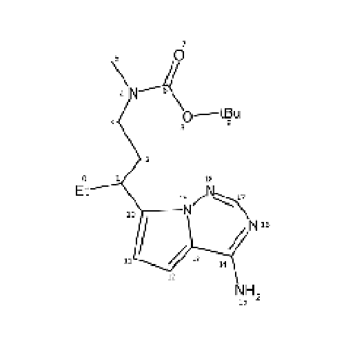 CCC(CCN(C)C(=O)OC(C)(C)C)c1ccc2c(N)ncnn12